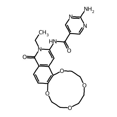 CCn1c(NC(=O)c2cnc(N)nc2)cc2c3c(ccc2c1=O)OCCOCCOCCO3